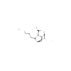 CCCCC1C2CC3C(OC(=O)C13)C2C